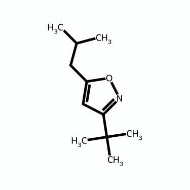 CC(C)Cc1cc(C(C)(C)C)no1